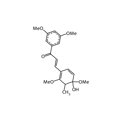 COC1=C(C=CC(=O)c2cc(OC)cc(OC)c2)C=CC(O)(OC)C1C